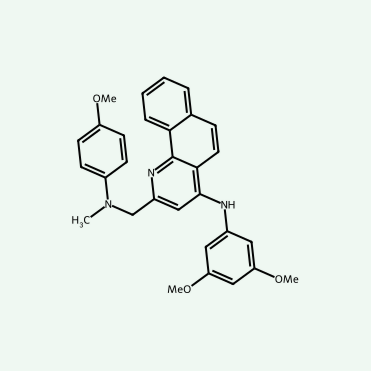 COc1ccc(N(C)Cc2cc(Nc3cc(OC)cc(OC)c3)c3ccc4ccccc4c3n2)cc1